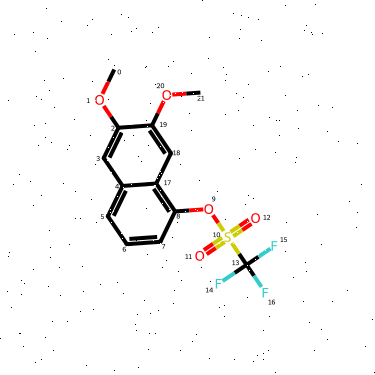 COc1cc2cccc(OS(=O)(=O)C(F)(F)F)c2cc1OC